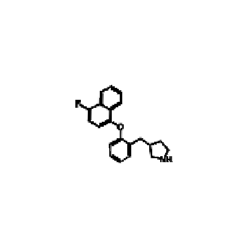 Fc1ccc(Oc2ccccc2CC2CCNC2)c2ccccc12